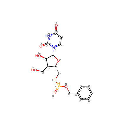 O=c1ccn([C@@H]2O[C@H](CO[PH](=O)OCc3ccccc3)[C@@H](CO)[C@H]2O)c(=O)[nH]1